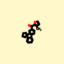 Cc1ccoc1C(=O)c1ccc2c(c1)C1(CCCC1)c1ccccc1-2